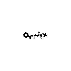 CC(CNCCNC(=O)OC(C)(C)C)c1ccccc1